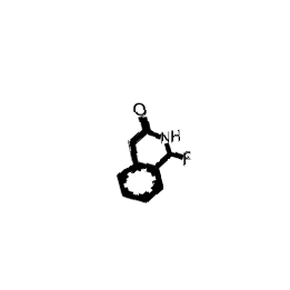 O=C1Cc2ccccc2[C](F)N1